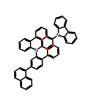 c1ccc(-c2ccccc2N(c2ccc(-n3c4ccccc4c4ccccc43)cc2)c2cc(-c3cccc4ccccc34)ccc2-c2ccccc2)cc1